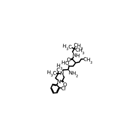 CCCC(CC(O)[C@@H](N)CN1CC(=O)N(c2ccccc2Cl)CC1(C)C)C(=O)NCC(C)(C)C